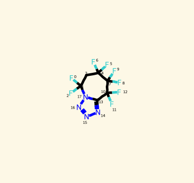 FC1(F)CC(F)(F)C(F)(F)C(F)(F)c2nnnn21